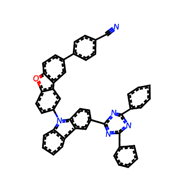 N#Cc1ccc(-c2ccc3oc4ccc(-n5c6ccccc6c6cc(-c7nc(-c8ccccc8)nc(-c8ccccc8)n7)ccc65)cc4c3c2)cc1